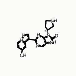 N#Cc1ccn2ncc(-c3ncc4[nH]c(=O)n([C@H]5CCNC5)c4n3)c2c1